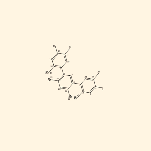 Cc1cc(Br)c(-c2cc(-c3cc(C)c(C)cc3Br)c(Br)cc2Br)cc1C